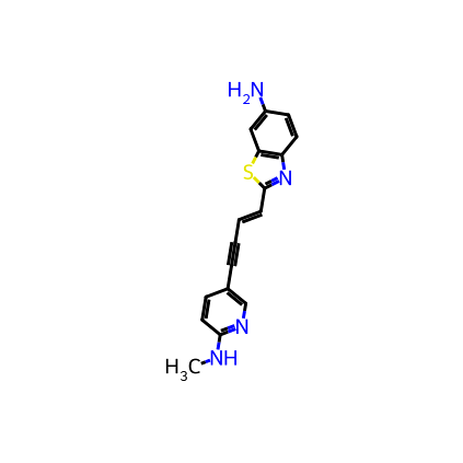 CNc1ccc(C#CC=Cc2nc3ccc(N)cc3s2)cn1